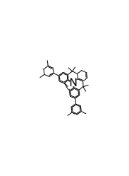 CC1=CC(c2cc3c4c(c2)c2cc(-c5cc(C)cc(C)c5)cc5c2n4C2=C(C=CCC2C3(C)C)C5(C)C)=CC(C)C1